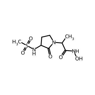 CC(C(=O)NO)N1CCC(NS(C)(=O)=O)C1=O